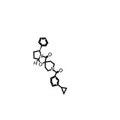 O=C(c1cccc(C2CC2)c1)N1CCC2(CC1)O[C@@H]1CC[C@@H](c3ccccc3)N1C2=O